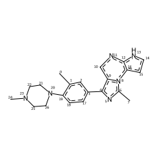 Cc1cc(-c2nc(C)n3c2cnc2[nH]ccc23)ccc1N1CCN(C)CC1